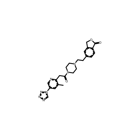 Cc1cc(-n2cnnn2)cnc1CC(=O)N1CCN(CCc2ccc3c(c2)COC3=O)CC1